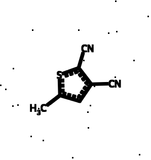 Cc1cc(C#N)c(C#N)s1